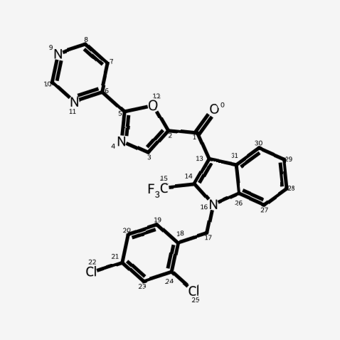 O=C(c1cnc(-c2ccncn2)o1)c1c(C(F)(F)F)n(Cc2ccc(Cl)cc2Cl)c2ccccc12